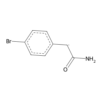 NC(=O)[CH]c1ccc(Br)cc1